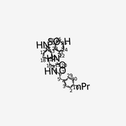 CCCc1ccc(CC(=O)NC(Cc2ccc(NS(=O)(=O)O)cc2)C(=O)NCc2ccccc2)cc1